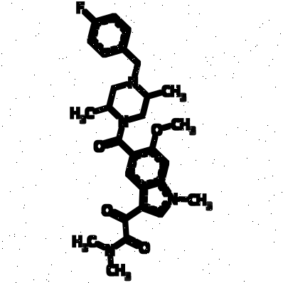 COc1cc2c(cc1C(=O)N1CC(C)N(Cc3ccc(F)cc3)CC1C)c(C(=O)C(=O)N(C)C)cn2C